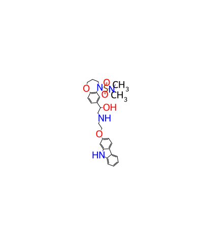 CN(C)S(=O)(=O)N1CCCOc2ccc(C(O)CNCCOc3ccc4c(c3)[nH]c3ccccc34)cc21